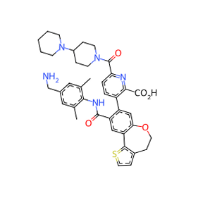 Cc1cc(CN)cc(C)c1NC(=O)c1cc2c(cc1-c1ccc(C(=O)N3CCC(N4CCCCC4)CC3)nc1C(=O)O)OCCc1ccsc1-2